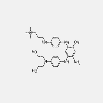 C[N+](C)(C)CCCNc1ccc(Nc2cc(Nc3ccc(N(CCO)CCO)cc3)c(N)cc2O)cc1